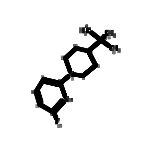 CC(C)(C)C1CCN(c2cccc(F)n2)CC1